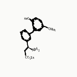 CCOC(=O)C[C@H](N)c1cccc(-c2cc(OC)ccc2OC)c1